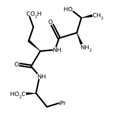 CC(C)C[C@H](NC(=O)[C@@H](CCC(=O)O)NC(=O)[C@H](N)[C@H](C)O)C(=O)O